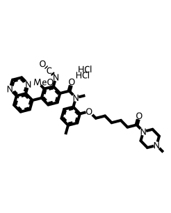 COc1c(-c2cccc3nccnc23)ccc(C(=O)N(C)c2ccc(C)cc2OCCCCCC(=O)N2CCN(C)CC2)c1N=C=O.Cl.Cl